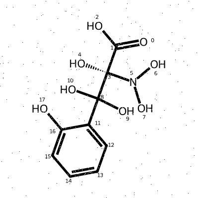 O=C(O)[C@@](O)(N(O)O)C(O)(O)c1ccccc1O